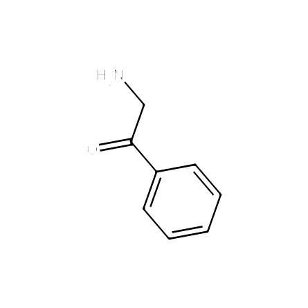 NCC(=O)c1[c]cccc1